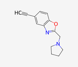 C#Cc1ccc2oc(CN3CCCC3)nc2c1